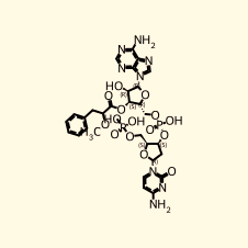 COC(Cc1ccccc1)C(=O)O[C@H]1[C@@H](O)[C@H](n2cnc3c(N)ncnc32)O[C@@H]1COP(=O)(O)O[C@H]1C[C@H](n2ccc(N)nc2=O)O[C@H]1COP(=O)(O)O